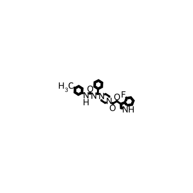 Cc1ccc(NC(=O)/N=C(\c2ccccc2)N2CCN(C(=O)C(=O)c3c[nH]c4cccc(F)c34)CC2)cc1